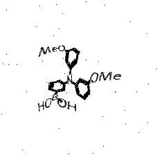 COc1cccc(N(c2cccc(OC)c2)c2cccc(B(O)O)c2)c1